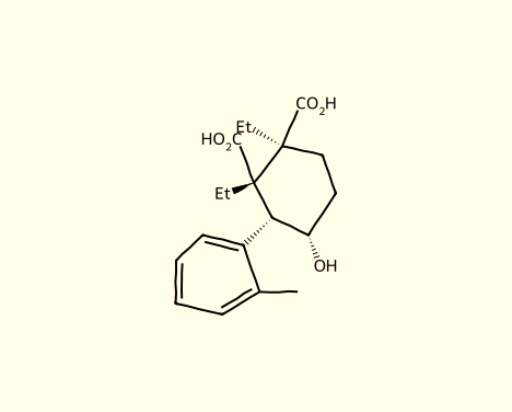 CC[C@]1(C(=O)O)CC[C@H](O)[C@H](c2ccccc2C)[C@]1(CC)C(=O)O